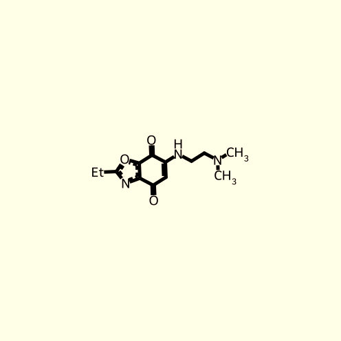 CCc1nc2c(o1)C(=O)C(NCCN(C)C)=CC2=O